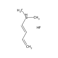 C=CC=C[SiH](C)C.F